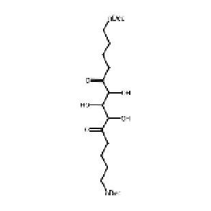 CCCCCCCCCCCCCCC(=O)C(O)C(O)C(O)C(=O)CCCCCCCCCCCCCC